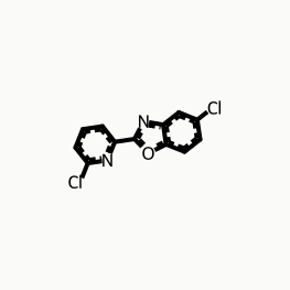 Clc1ccc2oc(-c3cccc(Cl)n3)nc2c1